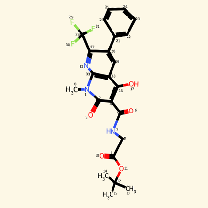 Cn1c(=O)c(C(=O)NCC(=O)OC(C)(C)C)c(O)c2cc(-c3ccccc3)c(C(F)(F)F)nc21